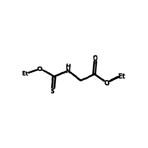 CCOC(=O)CNC(=S)OCC